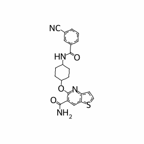 N#Cc1cccc(C(=O)NC2CCC(Oc3nc4ccsc4cc3C(N)=O)CC2)c1